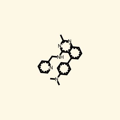 Cc1nc(NCc2ccccn2)c2c(-c3ccc(N(C)C)cc3)cccc2n1